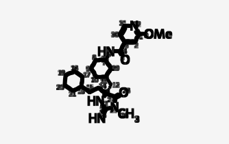 COc1cc(C(=O)N[C@@H]2CCC[C@H](C[C@@]3(CCC4CCCCC4)NC(=N)N(C)C3=O)C2)ccn1